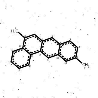 Cc1ccc2cc3cc(C)c4ccccc4c3cc2c1